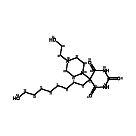 O=C1NC(=O)C(CCCCCCCCO)(N2CCN(CCO)CC2)C(=O)N1